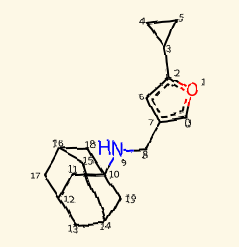 c1oc(C2CC2)cc1CNC12CC3CC(CC(C3)C1)C2